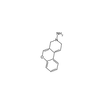 NN1CC=C2C(=COc3ccccc32)C1